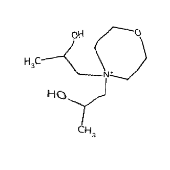 CC(O)C[N+]1(CC(C)O)CCOCC1